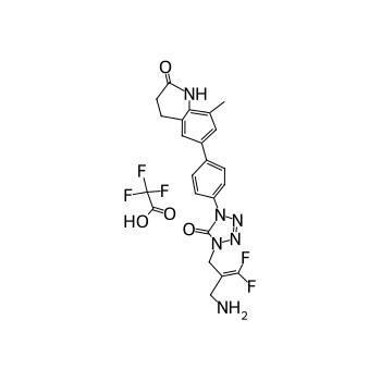 Cc1cc(-c2ccc(-n3nnn(CC(CN)=C(F)F)c3=O)cc2)cc2c1NC(=O)CC2.O=C(O)C(F)(F)F